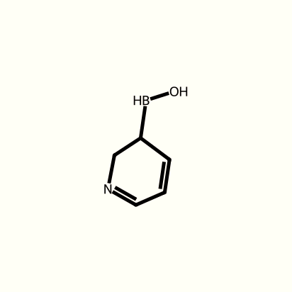 OBC1C=CC=NC1